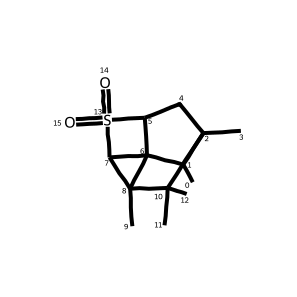 CC1C2(C)CC3C14C(C4(C)C2(C)C)S3(=O)=O